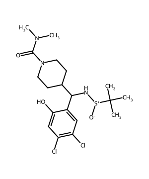 CN(C)C(=O)N1CCC(C(N[S+]([O-])C(C)(C)C)c2cc(Cl)c(Cl)cc2O)CC1